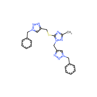 Cc1nc(SCc2cn(Cc3ccccc3)nn2)n(Cc2cn(Cc3ccccc3)nn2)n1